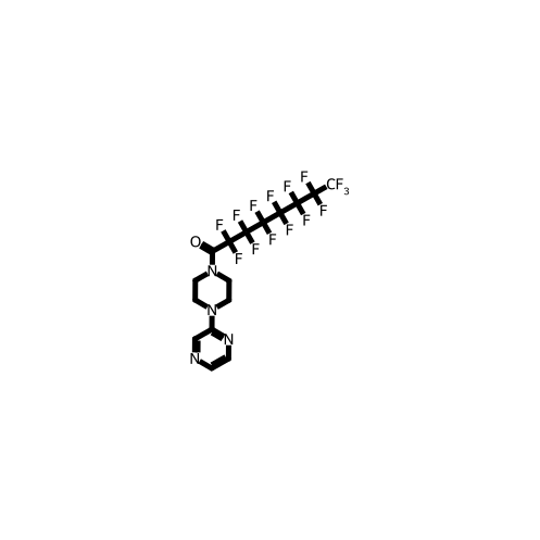 O=C(N1CCN(c2cnccn2)CC1)C(F)(F)C(F)(F)C(F)(F)C(F)(F)C(F)(F)C(F)(F)C(F)(F)F